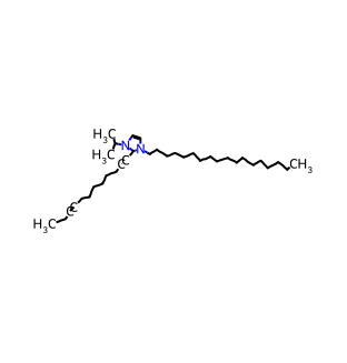 CCCCCCCCCCCCCCCCCCN1C=CN(C(C)C)C1CCCCCCCCCCCC